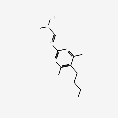 CCCCc1c(Cl)nc(/N=C/N(C)C)nc1Cl